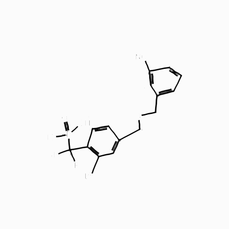 N#Cc1cccc(CSCc2ccc(C(F)(F)P(=O)(O)O)c(Br)c2)c1